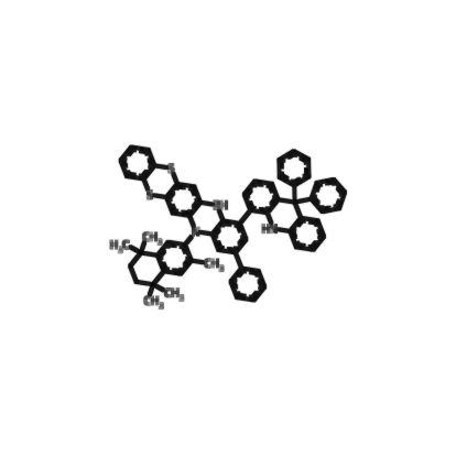 Cc1cc2c(cc1N1c3cc4c(cc3Bc3c(-c5cccc6c5Nc5ccccc5C6(c5ccccc5)c5ccccc5)cc(-c5ccccc5)cc31)Sc1ccccc1S4)C(C)(C)CCC2(C)C